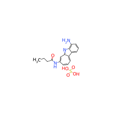 CCCC(=O)Nc1cccc2c3cccc(N)c3nc-2c1.O=S(=O)(O)O